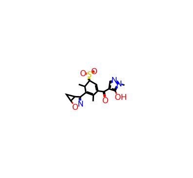 CC1=C(C2=NOC3CC23)C(C)C(=S(=O)=O)C=C1C(=O)c1cnn(C)c1O